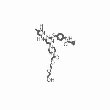 Cc1cc(Nc2cc(N3CCN(C(=O)COCCOCCO)CC3)nc(Sc3ccc(NC(=O)C4CC4)cc3)n2)n[nH]1